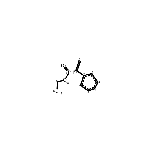 C=C(c1ccccc1)[PH](=O)OCC(F)(F)F